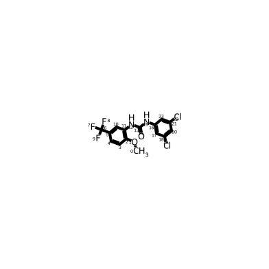 COc1ccc(C(F)(F)F)cc1NC(=O)Nc1cc(Cl)cc(Cl)c1